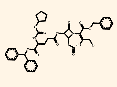 O=CSC1C(NC(=O)CCC(NC(=O)OC2CCCC2)C(=O)OC(c2ccccc2)c2ccccc2)C(=O)N1C(C(=O)OCc1ccccc1)=C(O)CBr